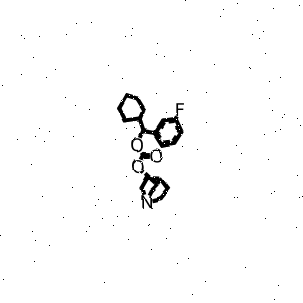 O=C(OC1CN2CCC1CC2)OC(c1cccc(F)c1)C1CCCCC1